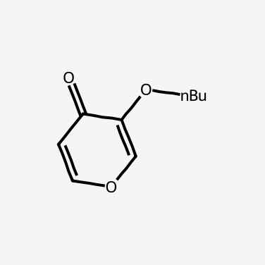 CCCCOc1coccc1=O